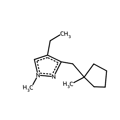 CCc1cn(C)nc1CC1(C)CCCC1